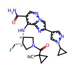 N#CC1(C(=O)N2C[C@H](CF)[C@H](Nc3c(C(N)=O)cnn4cc(-c5cnn(C6CC6)c5)nc34)C2)CC1